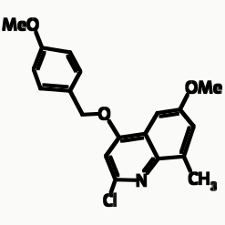 COc1ccc(COc2cc(Cl)nc3c(C)cc(OC)cc23)cc1